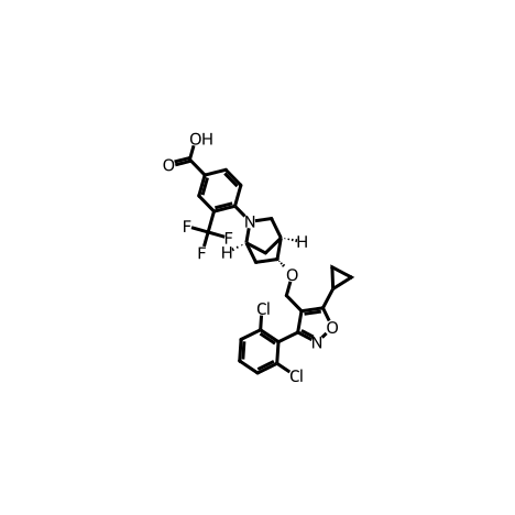 O=C(O)c1ccc(N2C[C@@H]3C[C@H]2C[C@H]3OCc2c(-c3c(Cl)cccc3Cl)noc2C2CC2)c(C(F)(F)F)c1